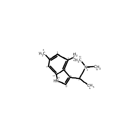 Cc1cc(C)c2c(C(C)N(C)C)c[nH]c2c1